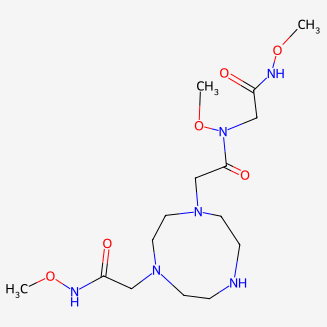 CONC(=O)CN1CCNCCN(CC(=O)N(CC(=O)NOC)OC)CC1